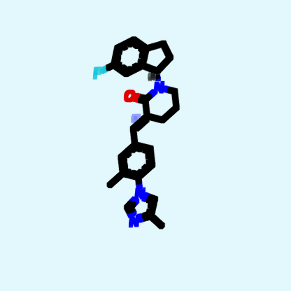 Cc1cn(-c2ccc(/C=C3\CCCN([C@H]4CCc5ccc(F)cc54)C3=O)cc2C)cn1